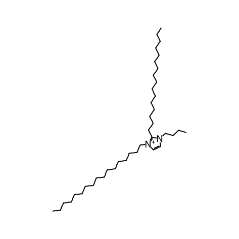 CCCCCCCCCCCCCCCCC[n+]1ccn(CCCC)c1CCCCCCCCCCCCCCCC